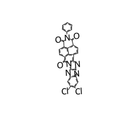 O=C1c2ccc3c(=O)n4c5nc6cc(Cl)c(Cl)cc6nc5nc4c4ccc(c2c34)C(=O)N1c1ccccc1